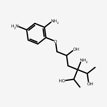 CC(O)C(N)(CC(O)COc1ccc(N)cc1N)C(C)O